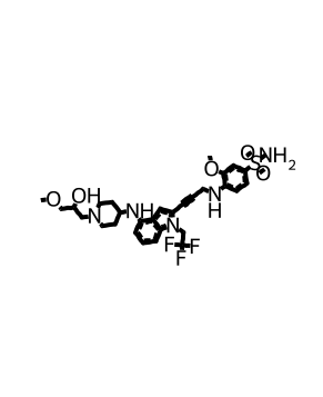 COCC(O)CN1CCC(Nc2cccc3c2cc(C#CCNc2ccc(S(N)(=O)=O)cc2OC)n3CC(F)(F)F)CC1